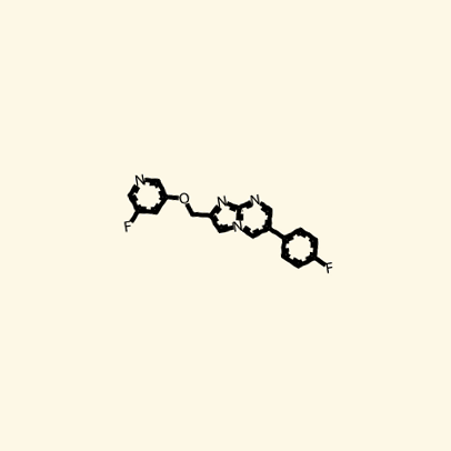 Fc1ccc(-c2cnc3nc(COc4cncc(F)c4)cn3c2)cc1